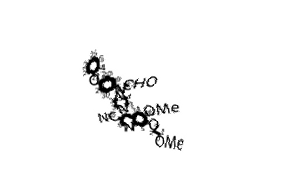 COCCOc1cc2ncc(C#N)c(N3CCN(N(C=O)c4ccc(Oc5ccccc5)cc4)CC3)c2cc1OC